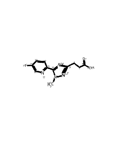 Cn1nc(CCC(=O)O)nc1-c1ccc(F)cn1